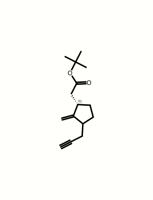 C#CCC1CC[C@@H](CC(=O)OC(C)(C)C)C1=C